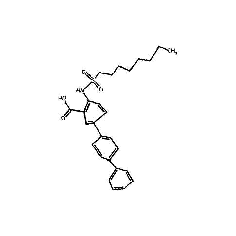 CCCCCCCCS(=O)(=O)Nc1ccc(-c2ccc(-c3ccccc3)cc2)cc1C(=O)O